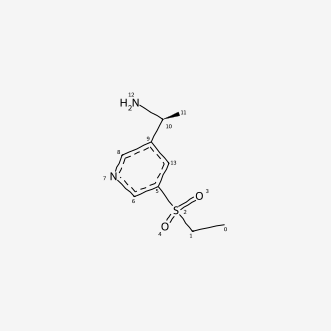 CCS(=O)(=O)c1cncc([C@H](C)N)c1